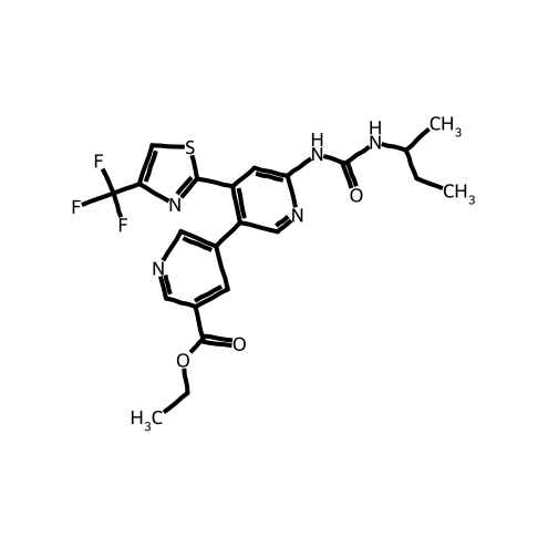 CCOC(=O)c1cncc(-c2cnc(NC(=O)NC(C)CC)cc2-c2nc(C(F)(F)F)cs2)c1